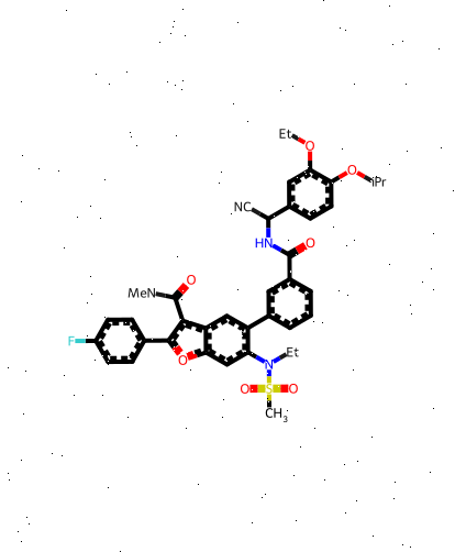 CCOc1cc(C(C#N)NC(=O)c2cccc(-c3cc4c(C(=O)NC)c(-c5ccc(F)cc5)oc4cc3N(CC)S(C)(=O)=O)c2)ccc1OC(C)C